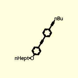 CCCCC#Cc1ccc(C#Cc2ccc(OCCCCCCC)cc2)cc1